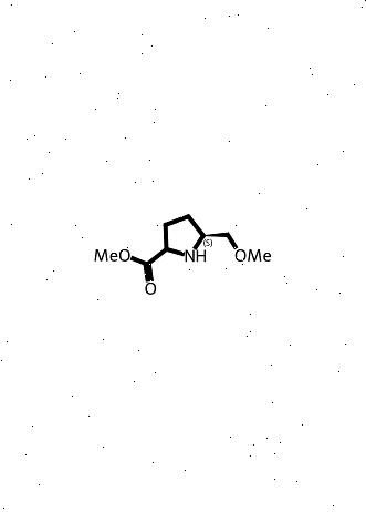 COC[C@@H]1CCC(C(=O)OC)N1